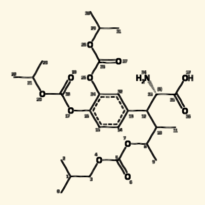 CC(C)COC(=O)OC(C)C(C)C(c1ccc(OC(=O)OC(C)C)c(OC(=O)OC(C)C)c1)[C@H](N)C(=O)O